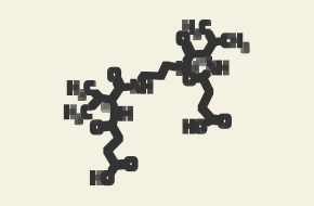 CC(C)[C@H](NC(=O)CCC(=O)O)C(=O)NCCCNC(=O)[C@@H](NC(=O)CCC(=O)O)C(C)C